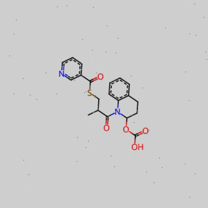 CC(CSC(=O)c1cccnc1)C(=O)N1c2ccccc2CCC1OC(=O)O